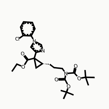 CCOC(=O)C1(c2cn(-c3ccccc3Cl)cn2)C[C@H]1CCCN(C(=O)OC(C)(C)C)C(=O)OC(C)(C)C